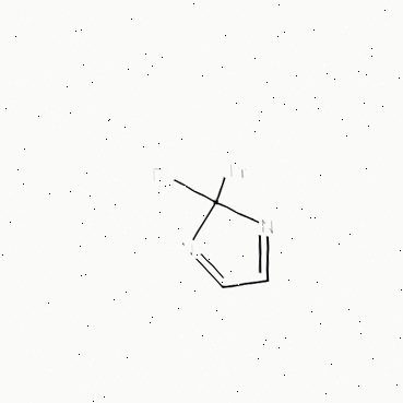 [CH2]CC1(C(C)C)N=CC=N1